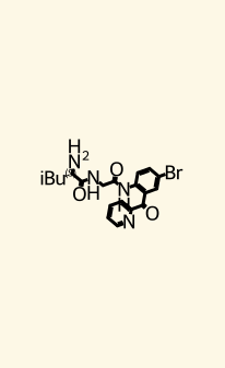 CCC(C)[C@H](N)C(=O)NCC(=O)Nc1ccc(Br)cc1C(=O)c1ccccn1